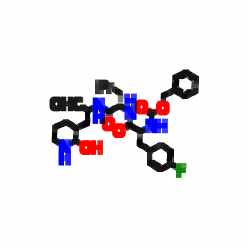 CC(C)C[C@H](NC(=O)[C@H](CC1C=CC(F)=CC1)NC(=O)OCc1ccccc1)C(=O)N[C@H](C=O)C[C@@H]1CCCNC1O